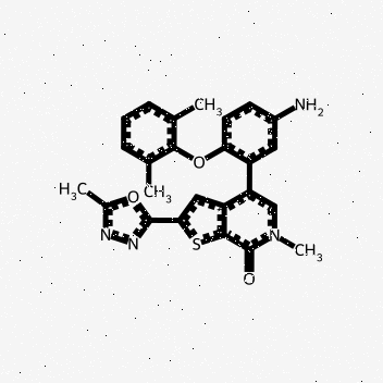 Cc1nnc(-c2cc3c(-c4cc(N)ccc4Oc4c(C)cccc4C)cn(C)c(=O)c3s2)o1